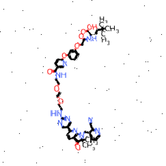 CC(C)(C)CC[C@H](NC(=O)COc1cccc(Oc2ccc(C(=O)NCCOCCOCCNc3ncc(-c4ccc5c(n4)N(Cc4cccnc4C#N)C(C)(C)C5=O)cn3)cn2)c1)C(=O)O